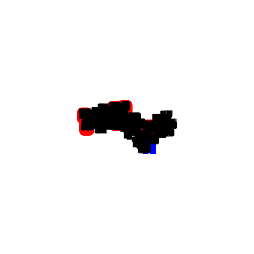 O=C(c1ccc(-c2ccncc2Oc2ccccc2)cc1)S(=O)(=O)c1ccc([N+](=O)[O-])cc1